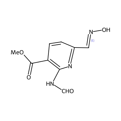 COC(=O)c1ccc(/C=N/O)nc1NC=O